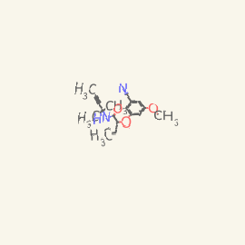 CC#CC(C)(C)NC(=O)C(CC)Oc1cc(C#N)cc(OC)c1